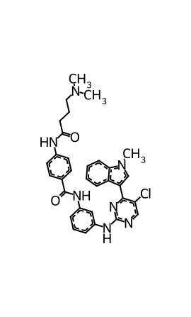 CN(C)CCCC(=O)Nc1ccc(C(=O)Nc2cccc(Nc3ncc(Cl)c(-c4cn(C)c5ccccc45)n3)c2)cc1